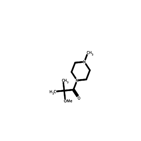 COC(C)(C)C(=O)N1CCN(C)CC1